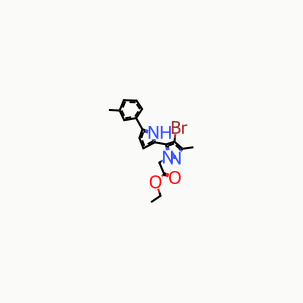 CCOC(=O)Cn1nc(C)c(Br)c1-c1ccc(-c2cccc(C)c2)[nH]1